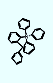 c1ccc(Cc2ccccc2[N+](c2ccccc2)(c2ccccc2)c2ccccc2)cc1